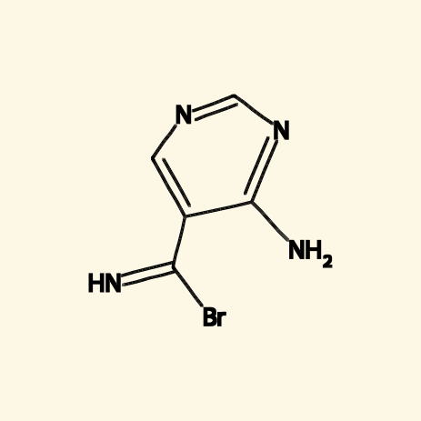 N=C(Br)c1cncnc1N